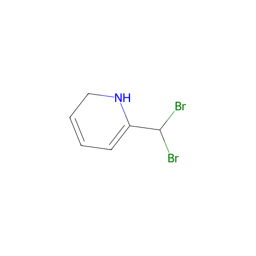 BrC(Br)C1=CC=CCN1